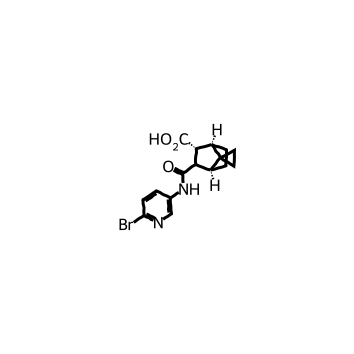 O=C(Nc1ccc(Br)nc1)C1[C@H](C(=O)O)[C@H]2CC[C@@H]1C21CC1